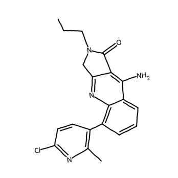 CCCN1Cc2nc3c(-c4ccc(Cl)nc4C)cccc3c(N)c2C1=O